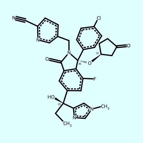 CC[C@](O)(c1cc(F)c2c(c1)C(=O)N(Cc1ccc(C#N)nc1)[C@@]2(O[C@H]1CCC(=O)C1)c1ccc(Cl)cc1)c1cn(C)cn1